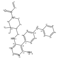 C=CC(=O)N1CCC(CNc2ncnc(N)c2-c2ccc(Oc3ccccc3)cc2)C(C)(C)C1